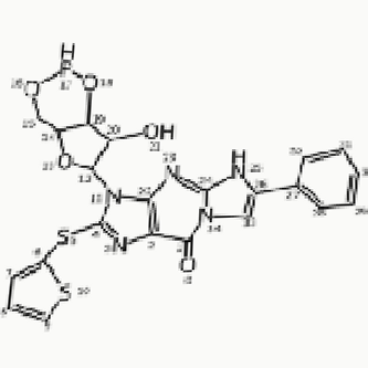 O=c1c2nc(Sc3cccs3)n(C3OC4COPOC4C3O)c2nc2[nH]c(-c3ccccc3)cn12